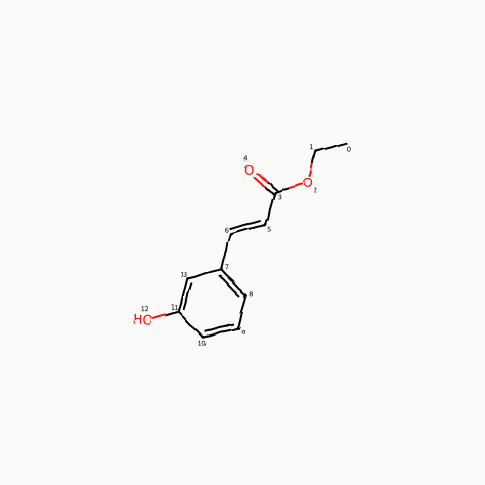 CCOC(=O)/C=C/c1cccc(O)c1